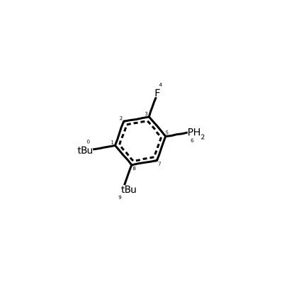 CC(C)(C)c1cc(F)c(P)cc1C(C)(C)C